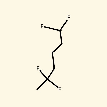 CC(F)(F)CCC[C](F)F